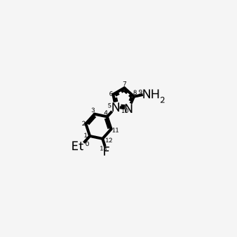 CCC1C=CC(n2ccc(N)n2)=CC1F